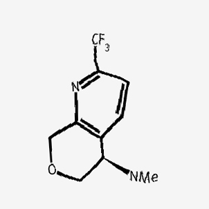 CN[C@H]1COCc2nc(C(F)(F)F)ccc21